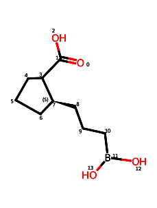 O=C(O)C1CCC[C@@H]1CCCB(O)O